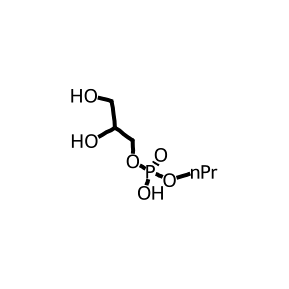 CCCOP(=O)(O)OCC(O)CO